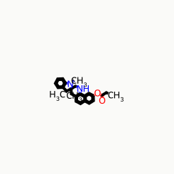 CCC(=O)Oc1ccc2ccc3c(c2c1)NCC1(C3)N(C)c2ccccc2C1(C)C